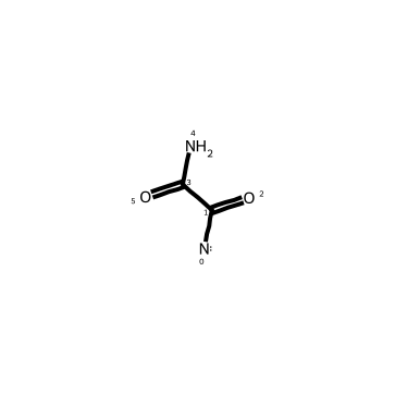 [N]C(=O)C(N)=O